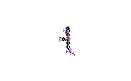 CONC(=O)CN1CCN(C2CCN(C(=O)[C@@H](Cc3ccc(O)c(Br)c3)OC(=O)N3CCC(N4CCc5ccccc5NC4=O)CC3)CC2)CC1